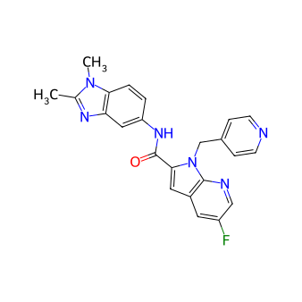 Cc1nc2cc(NC(=O)c3cc4cc(F)cnc4n3Cc3ccncc3)ccc2n1C